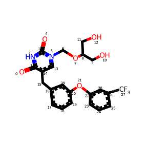 O=c1[nH]c(=O)n(COC(CO)CO)cc1Cc1cccc(Oc2cccc(C(F)(F)F)c2)c1